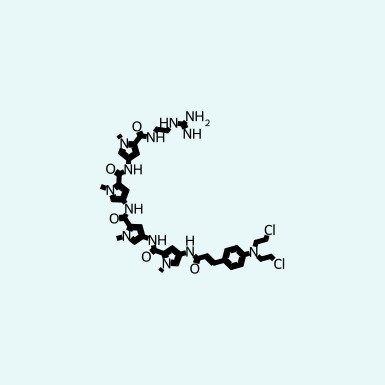 Cn1cc(NC(=O)c2cc(NC(=O)c3cc(NC(=O)c4cc(NC(=O)C=Cc5ccc(N(CCCl)CCCl)cc5)cn4C)cn3C)cn2C)cc1C(=O)NCCNC(=N)N